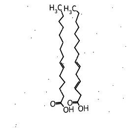 CCCCCCCCC=CCC=CCC(=O)O.CCCCCCCCC=CCCCCC(=O)O